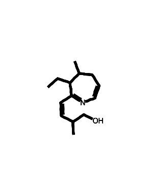 CCC1C(/C=C\C(C)CO)=NC=CCC1C